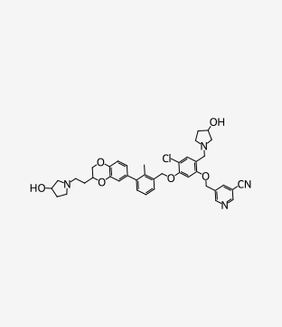 Cc1c(COc2cc(OCc3cncc(C#N)c3)c(CN3CCC(O)C3)cc2Cl)cccc1-c1ccc2c(c1)OC(CCN1CCC(O)C1)CO2